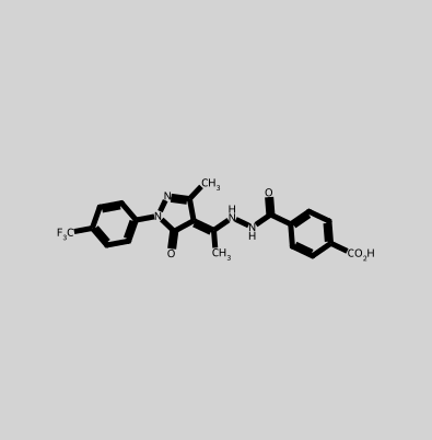 CC1=NN(c2ccc(C(F)(F)F)cc2)C(=O)C1=C(C)NNC(=O)c1ccc(C(=O)O)cc1